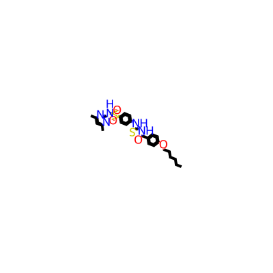 CCCCCCOc1ccc(C(=O)NC(=S)Nc2ccc(S(=O)(=O)Nc3nc(C)cc(C)n3)cc2)cc1